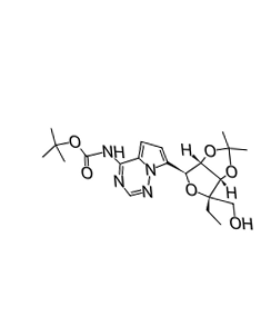 CC[C@@]1(CO)O[C@@H](c2ccc3c(NC(=O)OC(C)(C)C)ncnn23)[C@@H]2OC(C)(C)O[C@@H]21